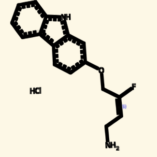 Cl.NC/C=C(/F)COc1ccc2c(c1)[nH]c1ccccc12